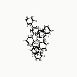 c1ccc(-c2nc(-c3ccccc3)nc(-c3cccc(-c4ccccc4)c3-n3c4ccccc4c4ccc5c6ccccc6oc5c43)n2)cc1